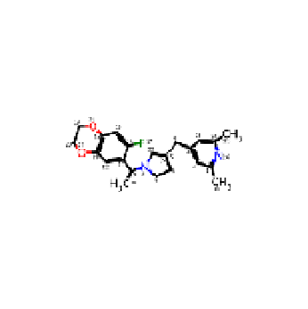 Cc1cc(C[C@H]2CCN(C(C)c3cc4c(cc3F)OCCO4)C2)cc(C)n1